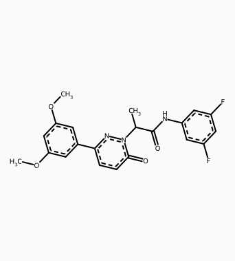 COc1cc(OC)cc(-c2ccc(=O)n(C(C)C(=O)Nc3cc(F)cc(F)c3)n2)c1